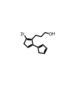 OCCCC1=[C]([Zr])CC=C1C1=CC=CC1